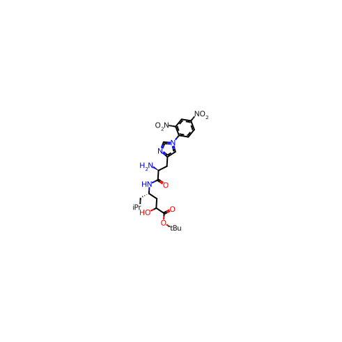 CC(C)C[C@@H](CC(O)C(=O)OC(C)(C)C)NC(=O)[C@@H](N)Cc1cn(-c2ccc([N+](=O)[O-])cc2[N+](=O)[O-])cn1